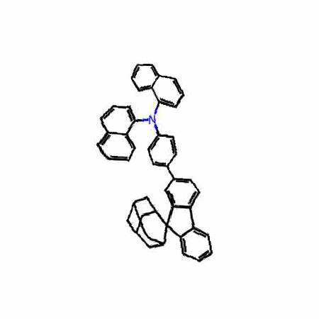 c1ccc2c(c1)-c1ccc(-c3ccc(N(c4cccc5ccccc45)c4cccc5ccccc45)cc3)cc1C21C2CC3CC(C2)CC1C3